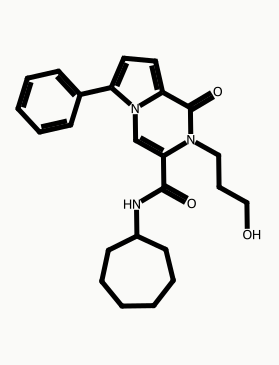 O=C(NC1CCCCCC1)c1cn2c(-c3ccccc3)ccc2c(=O)n1CCCO